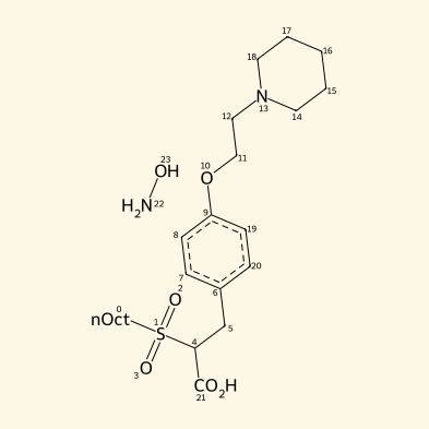 CCCCCCCCS(=O)(=O)C(Cc1ccc(OCCN2CCCCC2)cc1)C(=O)O.NO